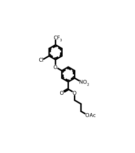 CC(=O)OCCCOC(=O)c1cc(Oc2ccc(C(F)(F)F)cc2Cl)ccc1[N+](=O)[O-]